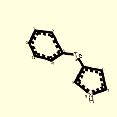 c1ccc([Te]c2cc[nH]c2)cc1